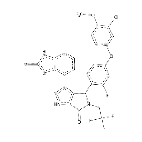 CC(F)(F)CN1C(=O)c2[nH]nc(-c3cccc4[nH]c(=O)oc34)c2C1c1ccc(Oc2ccc(OC(F)(F)F)c(Cl)c2)cc1F